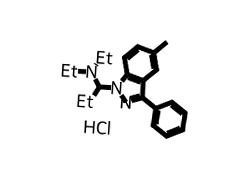 CCC(N(CC)CC)n1nc(-c2ccccc2)c2cc(C)ccc21.Cl